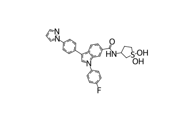 O=C(NC1CCS(O)(O)C1)c1ccc2c(-c3ccc(-n4cccn4)cc3)cn(-c3ccc(F)cc3)c2c1